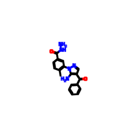 Cc1ccc(C(=O)NN)cc1-n1ncc(C(=O)c2ccccc2)c1N